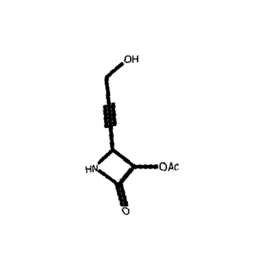 CC(=O)OC1C(=O)NC1C#CCO